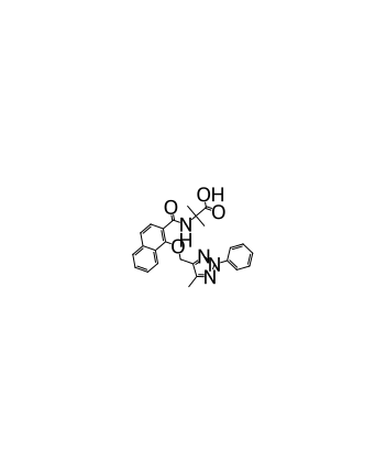 Cc1nn(-c2ccccc2)nc1COc1c(C(=O)NC(C)(C)C(=O)O)ccc2ccccc12